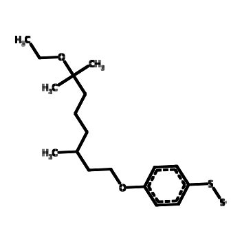 CCOC(C)(C)CCCC(C)CCOc1ccc(S[S])cc1